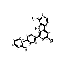 Cc1nccc2c1[nH]c1c(-c3ccc(-n4ccccc4=O)nc3)cc(Cl)cc12